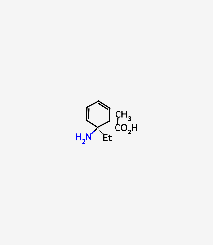 CC(=O)O.CC[C@]1(N)C=CC=CC1